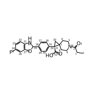 CCC(=O)N1CCC2(CC1)C[C@@]2(C(=O)O)c1ccc(C2Nc3ccc(F)cc3O2)cc1